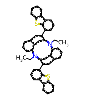 CCn1c2cc3c(cccc3n(CC)c3cc4c(cccc41)cc3-c1cccc3c1sc1ccccc13)cc2-c1cccc2c1sc1ccccc12